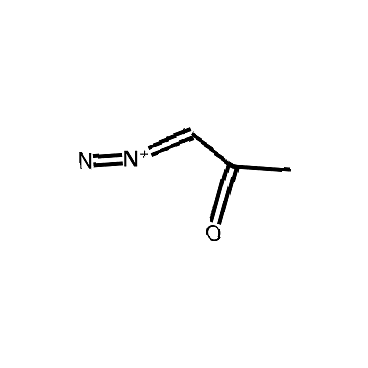 CC(=O)C=[N+]=[N-]